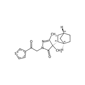 CC1=NN(CC(=O)c2ccsc2)C(=O)C1(C)[C@@H]1C[C@@H]2CC[C@@H]1C2